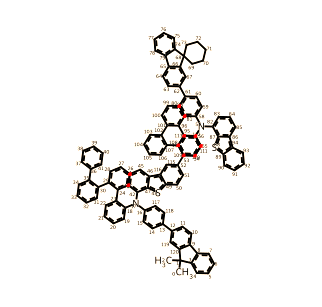 CC1(C)c2ccccc2-c2ccc(-c3ccc(N(c4ccccc4-c4ccccc4-c4ccccc4-c4ccccc4)c4cccc5c4sc4ccc(-c6ccc(N(c7ccc(-c8ccc9c(c8)C8(CCCCC8)c8ccccc8-9)cc7)c7cccc8c7sc7ccccc78)c(-c7ccccc7-c7ccccc7-c7ccccc7)c6)cc45)cc3)cc21